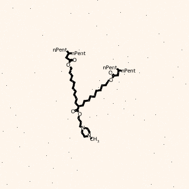 CCCCCC(CCCCC)CC(=O)OCCCCCCCCCCC(CCCCCCCCCCOC(=O)CC(CCCCC)CCCCC)C(=O)OCCCN1CCN(C)CC1